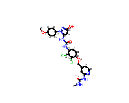 CNC(=O)Nc1cc(COc2ccc(NC(=O)Nc3cc(O)nn3-c3ccc(OC)cc3)c(Cl)c2Cl)ccn1